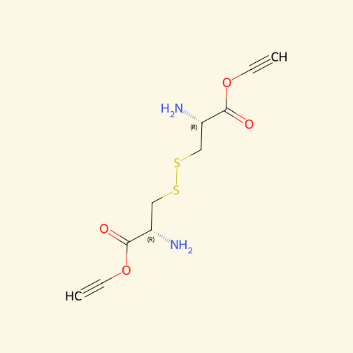 C#COC(=O)[C@@H](N)CSSC[C@H](N)C(=O)OC#C